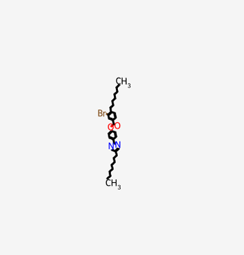 CCCCCCCCCc1cnc(-c2ccc(OC(=O)c3ccc(CCCCCCCCC)c(Br)c3)cc2)nc1